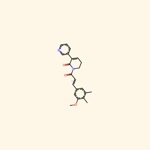 COc1cc(/C=C/C(=O)N2CCC=C(c3cccnc3)C2=O)cc(C)c1C